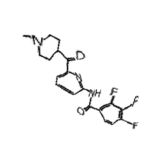 CN1CCC(C(=O)c2cccc(NC(=O)c3ccc(F)c(F)c3F)n2)CC1